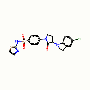 O=C1C(N2CCc3cc(Cl)ccc32)CCN1c1ccc(S(=O)(=O)Nc2nccs2)cc1